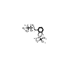 CC(C)(C)[Si](C)(C)OCc1ccccc1O[Si](C)(C)C(C)(C)C